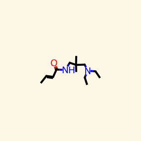 CC=CC(=O)NCC(C)(C)CN(CC)CC